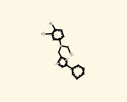 N#Cc1ccc(N(Cc2nc(-c3ccccc3)co2)CC(F)(F)F)cc1C(F)(F)F